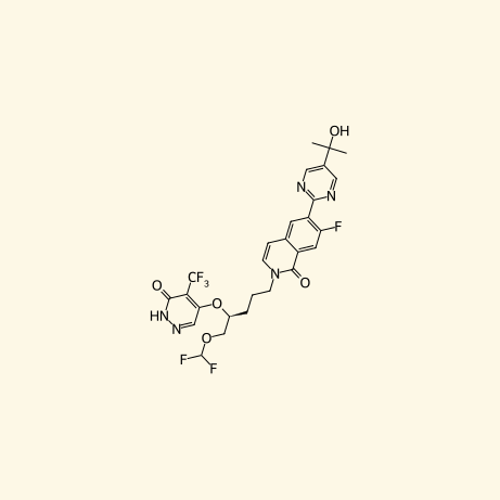 CC(C)(O)c1cnc(-c2cc3ccn(CCC[C@@H](COC(F)F)Oc4cn[nH]c(=O)c4C(F)(F)F)c(=O)c3cc2F)nc1